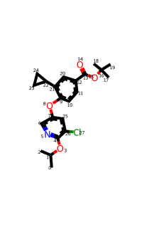 CC(C)Oc1ncc(Oc2ccc(C(=O)OC(C)(C)C)cc2C2CC2)cc1Cl